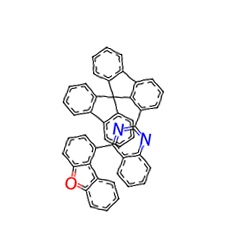 c1ccc2c(c1)-c1ccccc1C21c2ccccc2-c2cccc(-c3nc(-c4cccc5oc6ccccc6c45)c4ccccc4n3)c21